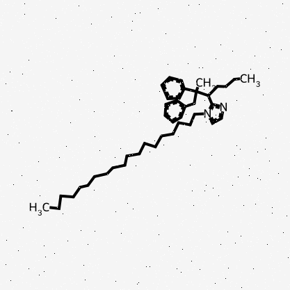 CCCCCCCCCCCCCCCCCCCn1ccnc1C(CCCC)C(C)(Cc1ccccc1)c1ccccc1